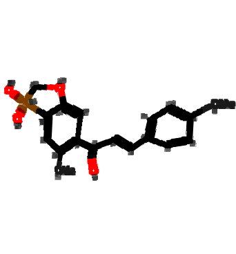 COc1ccc(/C=C/C(=O)c2cc3c(cc2OC)S(=O)(=O)CO3)cc1